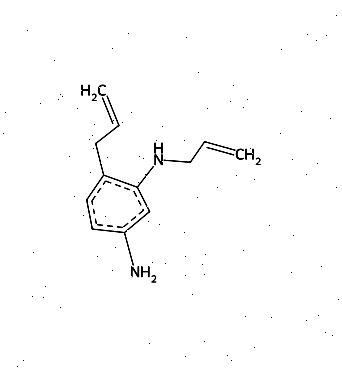 C=CCNc1cc(N)ccc1CC=C